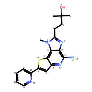 Cn1c(CCC(C)(C)O)nc2c(N)nc3cc(-c4ccccn4)sc3c21